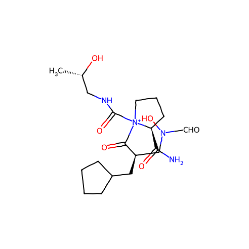 C[C@H](O)CNC(=O)[N+]1(C(=O)[C@H](CC2CCCC2)CN(O)C=O)CCC[C@H]1C(N)=O